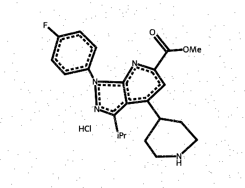 COC(=O)c1cc(C2CCNCC2)c2c(C(C)C)nn(-c3ccc(F)cc3)c2n1.Cl